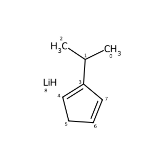 CC(C)C1=CCC=C1.[LiH]